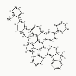 CC1(C)c2ccccc2-c2ccc(-c3nc(-c4ccccc4)nc(-c4ccccc4-c4ccc5c6c(ccc(-c7ccc8cc(-c9ccccc9C#N)ccc8c7)c46)-c4ccccc4-5)n3)cc21